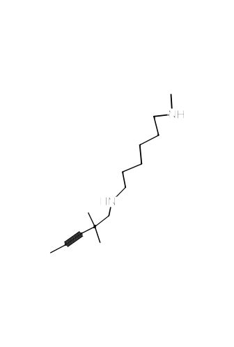 CC#CC(C)(C)CNCCCCCCNC